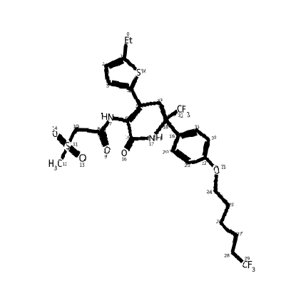 CCc1ccc(C2=C(NC(=O)CS(C)(=O)=O)C(=O)NC(c3ccc(OCCCCCC(F)(F)F)cc3)(C(F)(F)F)C2)s1